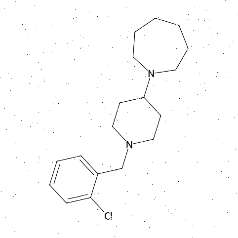 Clc1ccccc1CN1CCC(N2CCCCCC2)CC1